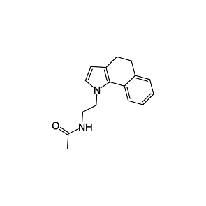 CC(=O)NCCn1ccc2c1-c1ccccc1CC2